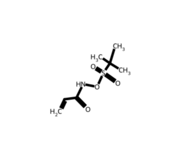 C=CC(=O)NOS(=O)(=O)C(C)(C)C